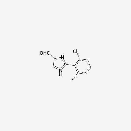 O=Cc1c[nH]c(-c2c(F)cccc2Cl)n1